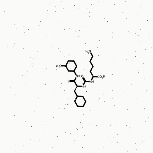 CC1CCCC(NC(=O)[C@H](CC2CCCCC2)NC(=O)NC(CCCCN)C(=O)O)C1